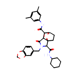 Cc1cc(C)cc(NC(=O)C2C3CCC4(O3)C2C(=O)N(Cc2ccc3c(c2)OCO3)C4C(=O)NC2CCCCC2)c1